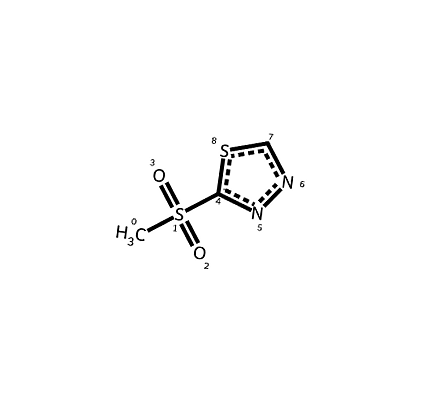 CS(=O)(=O)c1nncs1